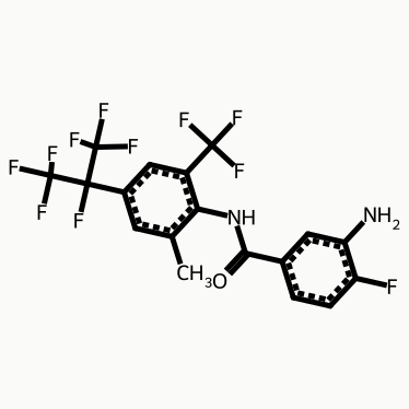 Cc1cc(C(F)(C(F)(F)F)C(F)(F)F)cc(C(F)(F)F)c1NC(=O)c1ccc(F)c(N)c1